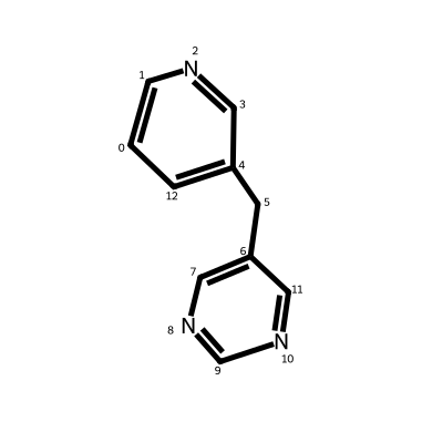 c1cncc(Cc2cncnc2)c1